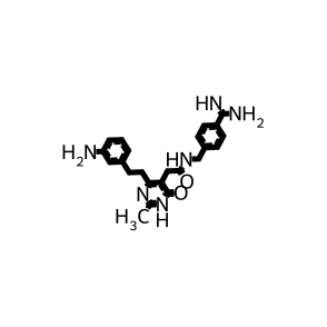 Cc1nc(CCc2cccc(N)c2)c(CC(=O)NCc2ccc(C(=N)N)cc2)c(=O)[nH]1